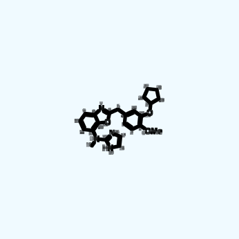 COc1ccc(Cc2nc3cccc(N(C)c4ncc[nH]4)c3o2)cc1OC1CCCC1